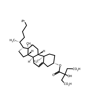 CC(C)CCC[C@@H](C)[C@H]1CC[C@H]2[C@@H]3CC=C4C[C@@H](OC(=O)C(O)(CC(=O)O)CC(=O)O)CC[C@]4(C)[C@H]3CC[C@]12C